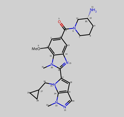 COc1cc(C(=O)N2CCC[C@@H](N)C2)cc2nc(-c3cc4cnn(C)c4n3CC3CC3)n(C)c12